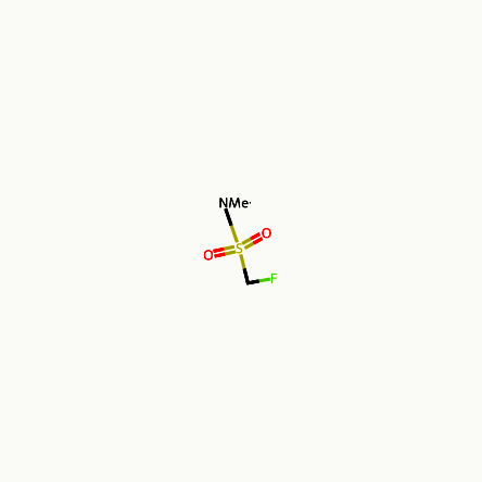 C[N]S(=O)(=O)CF